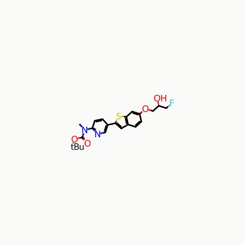 CN(C(=O)OC(C)(C)C)c1ccc(-c2cc3ccc(OC[C@@H](O)CF)cc3s2)cn1